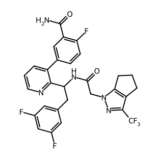 NC(=O)c1cc(-c2cccnc2C(Cc2cc(F)cc(F)c2)NC(=O)Cn2nc(C(F)(F)F)c3c2CCC3)ccc1F